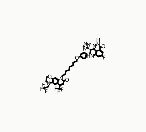 Cn1ncnc1[C@H]1c2n[nH]c(=O)c3cc(F)cc(c23)N[C@@H]1c1ccc(OCCCCCCCCn2c(=O)cc(C(F)(F)F)c3cc4c(cc32)OCCN4CC(F)(F)F)cc1